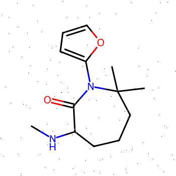 CNC1CCCC(C)(C)N(c2ccco2)C1=O